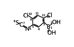 OB(O)c1cc(N=C=S)c(Cl)cc1Cl